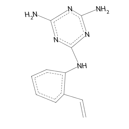 C=Cc1ccccc1Nc1nc(N)nc(N)n1